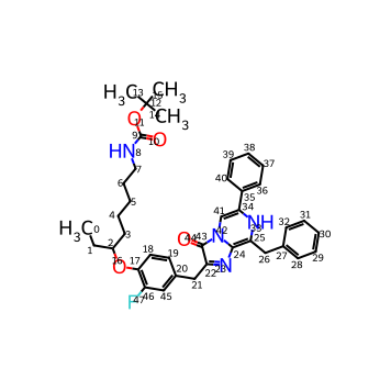 CCC(CCCCCNC(=O)OC(C)(C)C)Oc1ccc(Cc2nc3c(Cc4ccccc4)[nH]c(-c4ccccc4)cn-3c2=O)cc1F